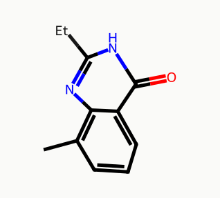 CCc1nc2c(C)cccc2c(=O)[nH]1